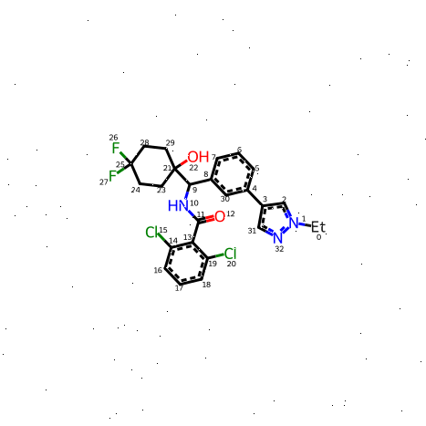 CCn1cc(-c2cccc(C(NC(=O)c3c(Cl)cccc3Cl)C3(O)CCC(F)(F)CC3)c2)cn1